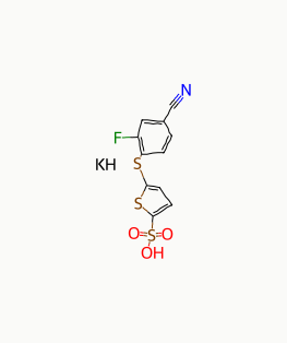 N#Cc1ccc(Sc2ccc(S(=O)(=O)O)s2)c(F)c1.[KH]